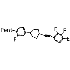 CCCCCc1ccc(C2CCC(C#Cc3ccc(CC)c(F)c3F)CC2)cc1F